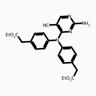 CCOC(=O)Cc1ccc(N(c2ccc(CC(=O)OCC)cc2)c2nc(N)ncc2C#N)cc1